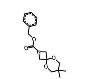 CC1(C)COC2(CN(C(=O)OCc3ccccc3)C2)OC1